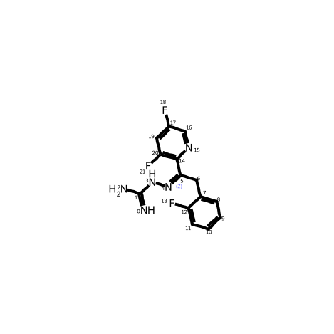 N=C(N)N/N=C(/Cc1ccccc1F)c1ncc(F)cc1F